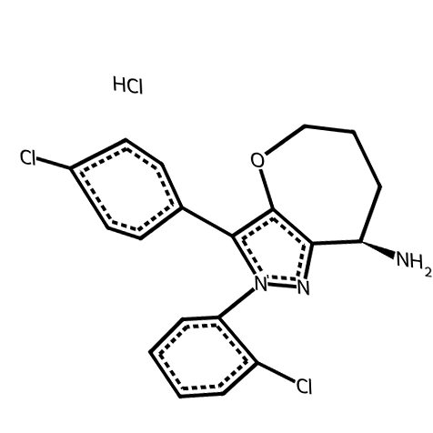 Cl.N[C@@H]1CCCOc2c1nn(-c1ccccc1Cl)c2-c1ccc(Cl)cc1